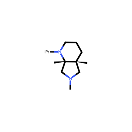 CC(C)N1CCC[C@]2(C)CN(C)C[C@]12C